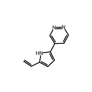 C=Cc1ccc(-c2ccnnc2)[nH]1